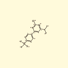 FC(F)c1cc(-c2ccc(C(F)(F)F)cc2)nc(Cl)n1